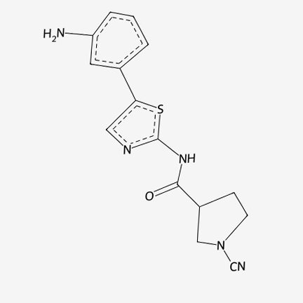 N#CN1CCC(C(=O)Nc2ncc(-c3cccc(N)c3)s2)C1